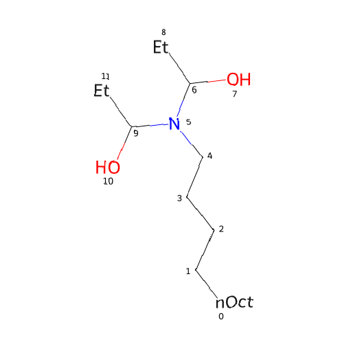 CCCCCCCCCCCCN(C(O)CC)C(O)CC